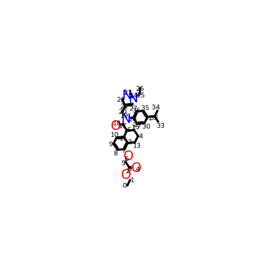 CCOC(=O)COc1cccc2c1CCCC2C(=O)N(Cc1cnn(CC)c1)c1ccc(C(C)C)cc1